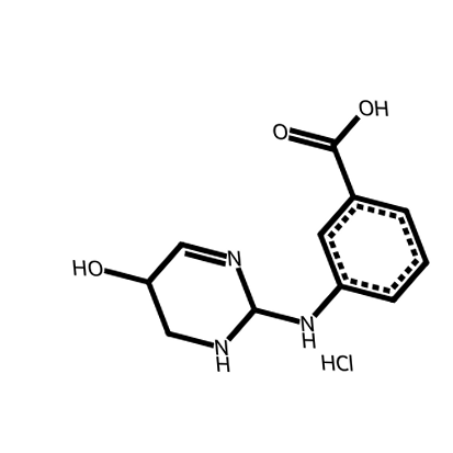 Cl.O=C(O)c1cccc(NC2N=CC(O)CN2)c1